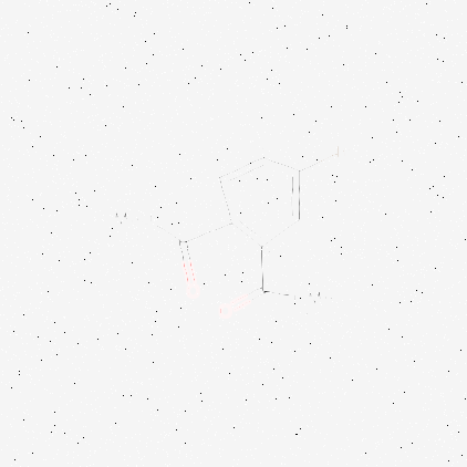 COC(=O)c1ccc(Br)cc1C(=O)OC